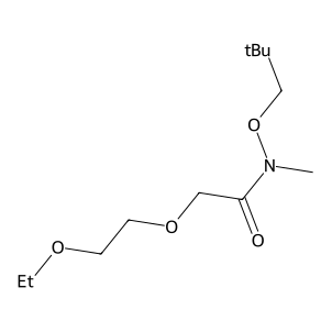 CCOCCOCC(=O)N(C)OCC(C)(C)C